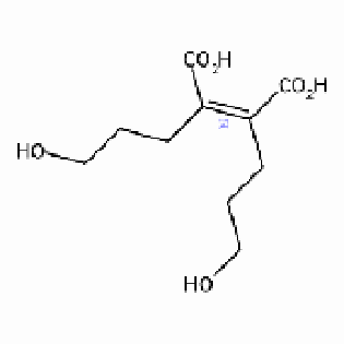 O=C(O)/C(CCCO)=C(/CCCO)C(=O)O